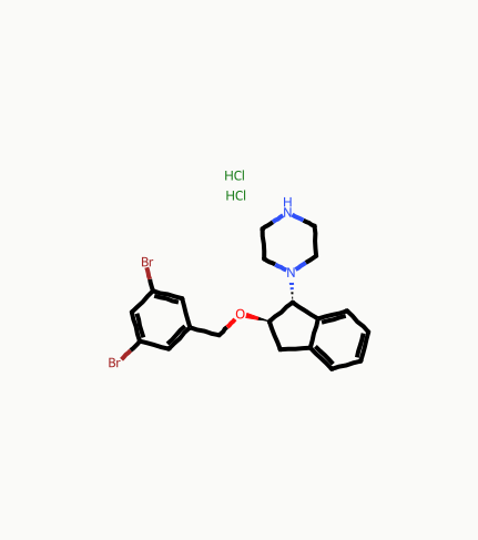 Brc1cc(Br)cc(CO[C@@H]2Cc3ccccc3[C@H]2N2CCNCC2)c1.Cl.Cl